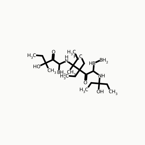 BBC(NC(O)(CC)CC)C(=O)C(CC)(CC)C(C)(CC)NC(B)C(=O)C(C)(O)CC